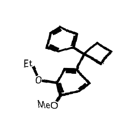 CCOc1cc(C2(c3ccccc3)[CH]CC2)ccc1OC